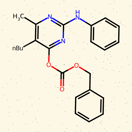 CCCCc1c(C)nc(Nc2ccccc2)nc1OC(=O)OCc1ccccc1